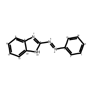 c1ccc(N=Nc2nc3ccccc3[nH]2)cc1